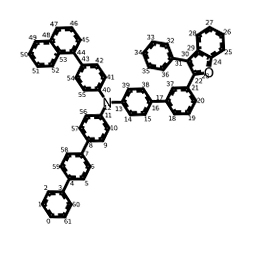 c1ccc(-c2ccc(-c3ccc(N(c4ccc(-c5cccc(-c6oc7ccccc7c6-c6ccccc6)c5)cc4)c4ccc(-c5cccc6ccccc56)cc4)cc3)cc2)cc1